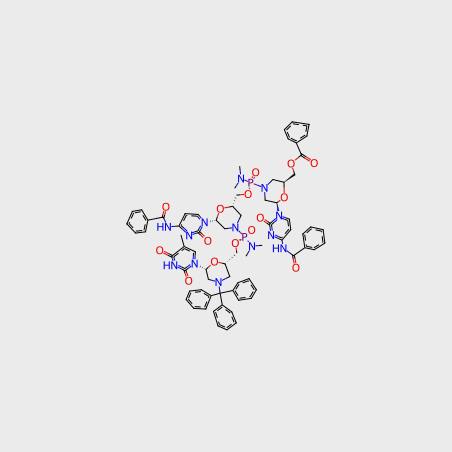 Cc1cn([C@H]2CN(C(c3ccccc3)(c3ccccc3)c3ccccc3)C[C@@H](CO[P@@](=O)(N(C)C)N3C[C@@H](CO[P@@](=O)(N(C)C)N4C[C@@H](COC(=O)c5ccccc5)O[C@@H](n5ccc(NC(=O)c6ccccc6)nc5=O)C4)O[C@@H](n4ccc(NC(=O)c5ccccc5)nc4=O)C3)O2)c(=O)[nH]c1=O